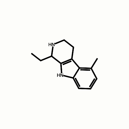 CCC1NCCc2c1[nH]c1cccc(C)c21